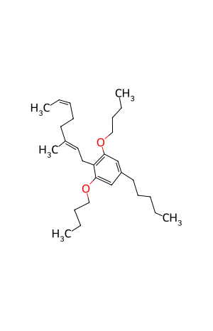 C/C=C\CC/C(C)=C/Cc1c(OCCCC)cc(CCCCC)cc1OCCCC